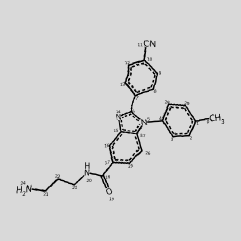 Cc1ccc(-n2c(-c3ccc(C#N)cc3)nc3cc(C(=O)NCCCN)ccc32)cc1